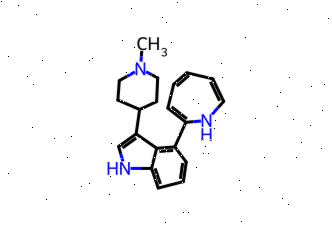 CN1CCC(c2c[nH]c3cccc(C4=CC=CC=CN4)c23)CC1